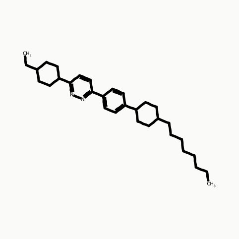 CCCCCCCCC1CCC(c2ccc(-c3ccc(C4CCC(CC)CC4)nn3)cc2)CC1